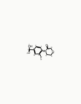 O=C(O)c1ccc(N2CCOCC2=O)c(F)c1